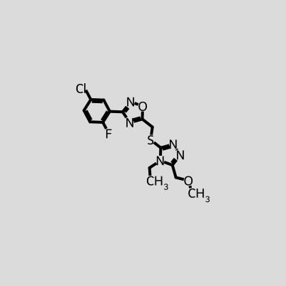 CCn1c(COC)nnc1SCc1nc(-c2cc(Cl)ccc2F)no1